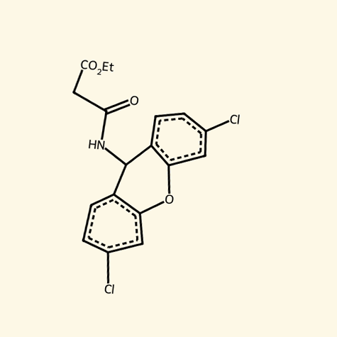 CCOC(=O)CC(=O)NC1c2ccc(Cl)cc2Oc2cc(Cl)ccc21